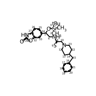 CC(C)(C)[Si](C)(C)OC(CNC(=S)CN1CCC(Cc2ccccc2)CC1)c1ccc2[nH]c(=O)oc2c1